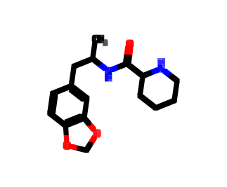 CC(Cc1ccc2c(c1)OCO2)NC(=O)C1CCCCN1